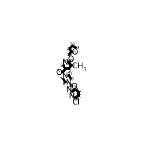 Cc1cc(C(=O)N2CCN(c3nc4nc(Cl)ccc4o3)CC2)cnc1OCC1CCCO1